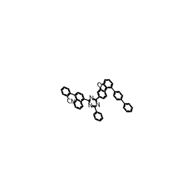 N#Cc1ccccc1-c1ccc(-c2nc(-c3ccccc3)nc(-c3ccc4c(c3)oc3cccc(-c5ccc(-c6ccccc6)cc5)c34)n2)c2ccccc12